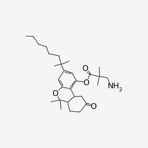 CCCCCCC(C)(C)c1cc(OC(=O)C(C)(C)CN)c2c(c1)OC(C)(C)C1CCC(=O)CC21